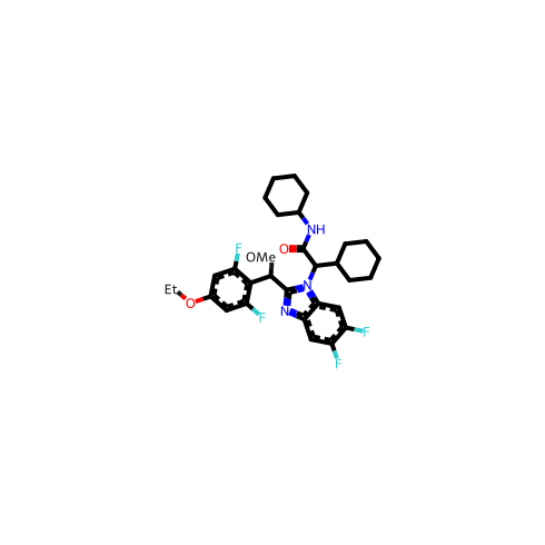 CCOc1cc(F)c(C(OC)c2nc3cc(F)c(F)cc3n2C(C(=O)NC2CCCCC2)C2CCCCC2)c(F)c1